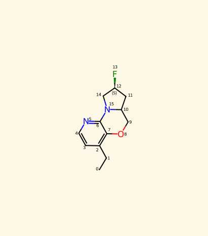 CCc1ccnc2c1OCC1C[C@H](F)CN21